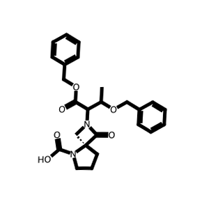 CC(OCc1ccccc1)C(C(=O)OCc1ccccc1)N1C[C@@]2(CCCN2C(=O)O)C1=O